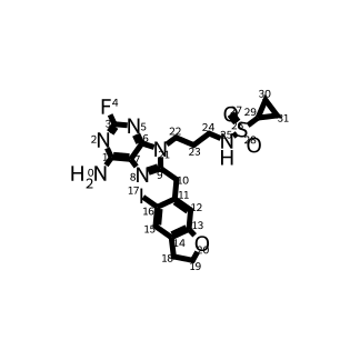 Nc1nc(F)nc2c1nc(Cc1cc3c(cc1I)CCO3)n2CCCNS(=O)(=O)C1CC1